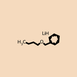 CCCCOCc1ccccc1.[LiH]